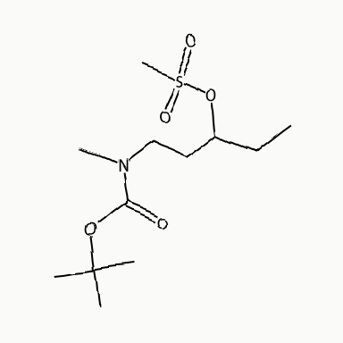 CCC(CCN(C)C(=O)OC(C)(C)C)OS(C)(=O)=O